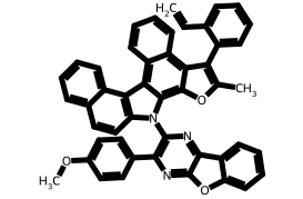 C=Cc1ccccc1-c1c(C)oc2c1c1ccccc1c1c3c4ccccc4ccc3n(-c3nc4c(nc3-c3ccc(OC)cc3)oc3ccccc34)c21